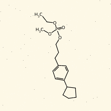 CCOP(=O)(OC)OCCCc1ccc(C2CCCC2)cc1